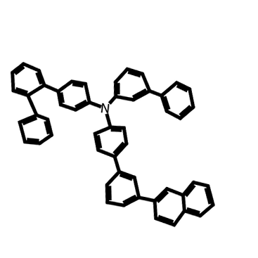 c1ccc(-c2cccc(N(c3ccc(-c4cccc(-c5ccc6ccccc6c5)c4)cc3)c3ccc(-c4ccccc4-c4ccccc4)cc3)c2)cc1